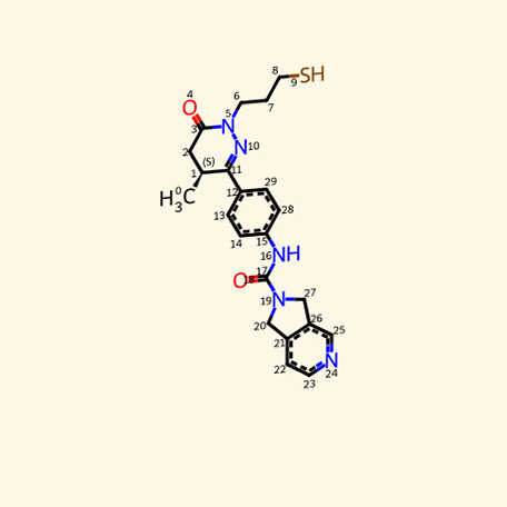 C[C@H]1CC(=O)N(CCCS)N=C1c1ccc(NC(=O)N2Cc3ccncc3C2)cc1